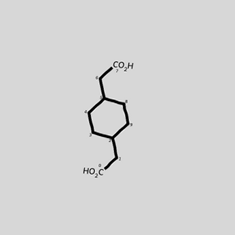 O=C(O)CC1CCC(CC(=O)O)CC1